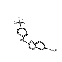 NS(=O)(=O)c1ccc(Nc2ncc3cc(C(=O)O)ccc3n2)cc1